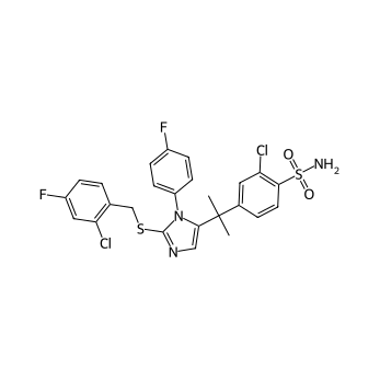 CC(C)(c1ccc(S(N)(=O)=O)c(Cl)c1)c1cnc(SCc2ccc(F)cc2Cl)n1-c1ccc(F)cc1